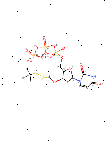 CC(C)(C)SSCO[C@@H]1C[C@H](n2ccc(=O)[nH]c2=O)O[C@@H]1COP(=O)(O)OP(=O)(O)OP(=O)(O)O